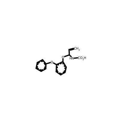 C=CC(NC(=O)O)Oc1ccccc1Oc1ccccc1